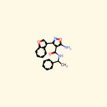 CC(NC(=O)c1c(-c2coc3ccccc23)noc1N)c1ccccc1